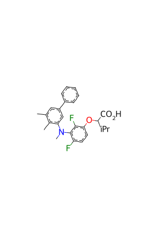 Cc1cc(-c2ccccc2)cc(N(C)c2c(F)ccc(OC(C(=O)O)C(C)C)c2F)c1C